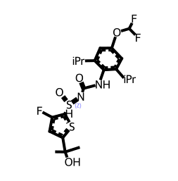 CC(C)c1cc(OC(F)F)cc(C(C)C)c1NC(=O)/N=[SH](=O)/c1sc(C(C)(C)O)cc1F